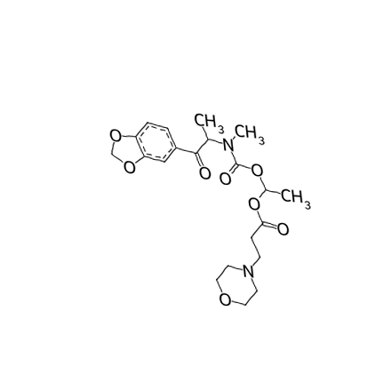 CC(OC(=O)CCN1CCOCC1)OC(=O)N(C)C(C)C(=O)c1ccc2c(c1)OCO2